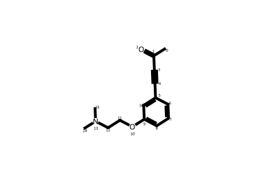 CC(=O)C#Cc1cccc(OCCN(C)C)c1